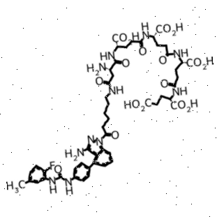 Cc1ccc(F)c(NC(=O)Nc2ccc(-c3cccc4c3c(N)nn4C(=O)CCCCCNC(=O)C[C@H](N)C(=O)N[C@@H](CCC(=O)N[C@@H](CCC(=O)N[C@@H](CCC(=O)N[C@@H](CCC(=O)O)C(=O)O)C(=O)O)C(=O)O)C(=O)O)cc2)c1